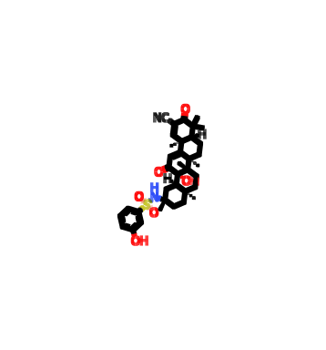 CC1(C)C(=O)C(C#N)=C[C@]2(C)C3=CC(=O)[C@]4(O)[C@@H]5C[C@@](C)(NS(=O)(=O)c6cccc(O)c6)CC[C@]5(C)CC[C@@]4(C)[C@]3(C)CC[C@@H]12